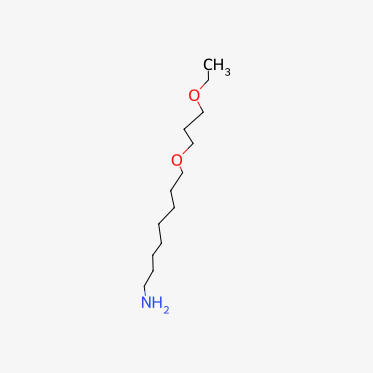 CCOCCCOCCCCCCCCN